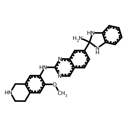 COc1cc2c(cc1Nc1ncc3ccc(C4(N)Nc5ccccc5N4)cc3n1)CNCC2